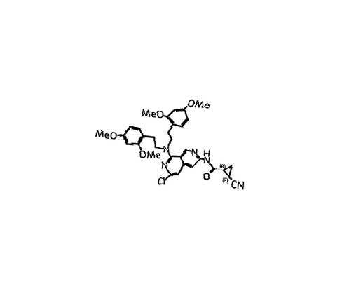 COc1ccc(CCN(CCc2ccc(OC)cc2OC)c2nc(Cl)cc3cc(NC(=O)[C@@H]4C[C@H]4C#N)ncc23)c(OC)c1